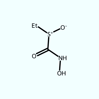 CC[S+]([O-])C(=O)NO